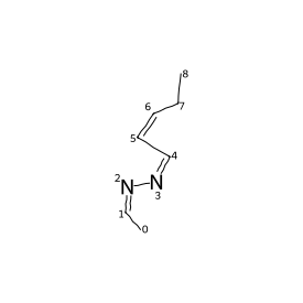 C\C=N/N=C\C=C/CC